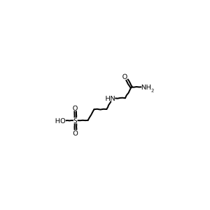 NC(=O)CNCCCS(=O)(=O)O